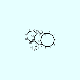 CN1C2CCCCCCC(CC2)OC2CCCCCC1C2